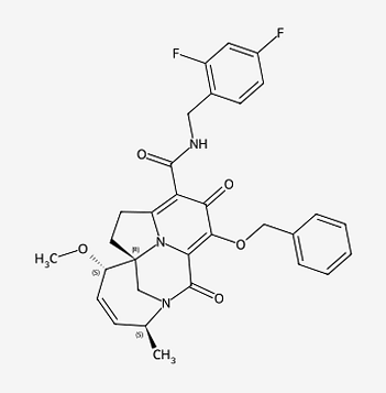 CO[C@H]1C=C[C@H](C)N2C[C@]13CCc1c(C(=O)NCc4ccc(F)cc4F)c(=O)c(OCc4ccccc4)c(n13)C2=O